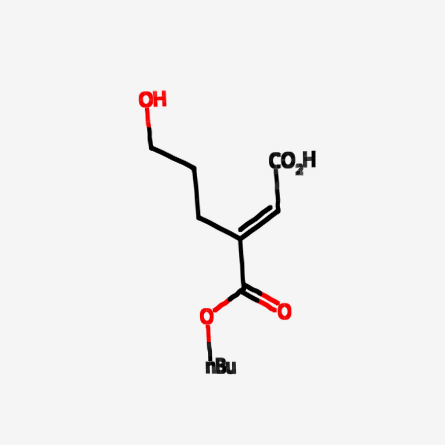 CCCCOC(=O)C(=CC(=O)O)CCCO